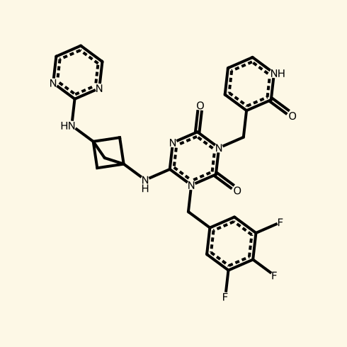 O=c1[nH]cccc1Cn1c(=O)nc(NC23CC(Nc4ncccn4)(C2)C3)n(Cc2cc(F)c(F)c(F)c2)c1=O